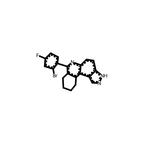 Fc1ccc(-c2nc3ccc4[nH]ncc4c3c3c2CCCC3)c(Br)c1